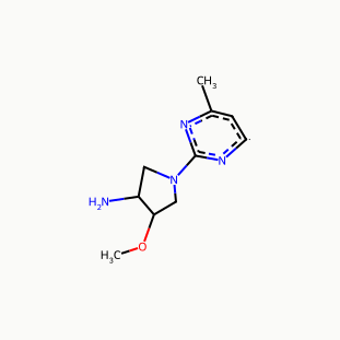 COC1CN(c2n[c]cc(C)n2)CC1N